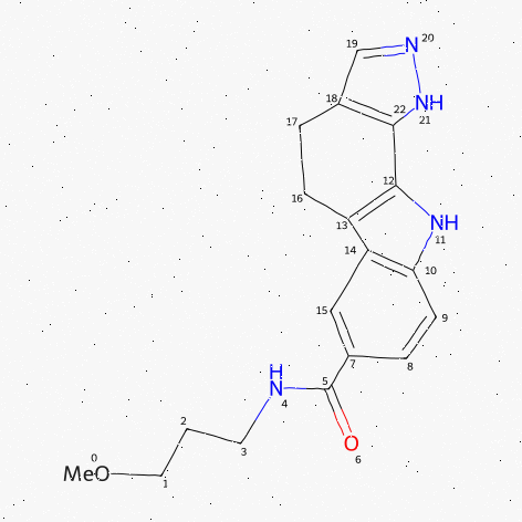 COCCCNC(=O)c1ccc2[nH]c3c(c2c1)CCc1cn[nH]c1-3